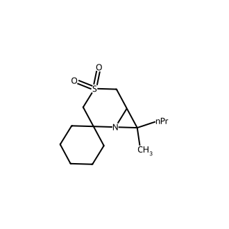 CCCC1(C)C2CS(=O)(=O)CC3(CCCCC3)N21